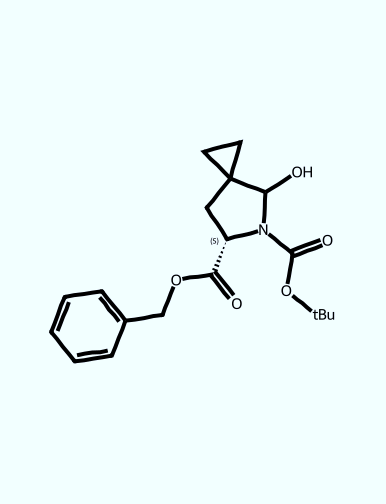 CC(C)(C)OC(=O)N1C(O)C2(CC2)C[C@H]1C(=O)OCc1ccccc1